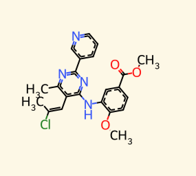 COC(=O)c1ccc(OC)c(Nc2nc(-c3cccnc3)nc(C)c2/C=C(\C)Cl)c1